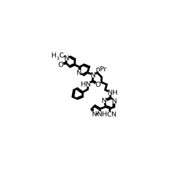 CCCC(CCCCNc1ncc(C#N)c(-c2ccn[nH]2)n1)N(C(=O)NCc1ccccc1)c1ccc(-c2ccn(C)c(=O)c2)nc1